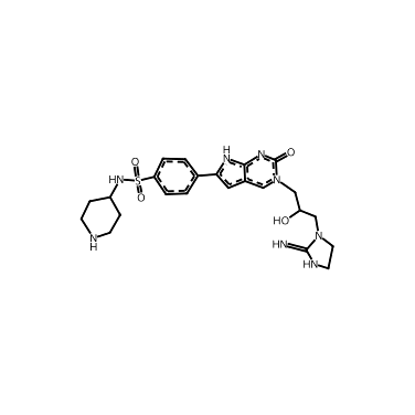 N=C1NCCN1CC(O)Cn1cc2cc(-c3ccc(S(=O)(=O)NC4CCNCC4)cc3)[nH]c2nc1=O